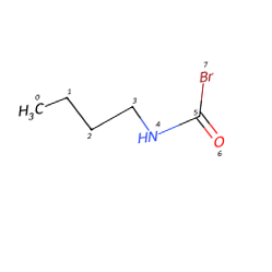 CCCCNC(=O)Br